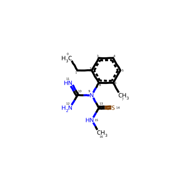 CCc1cccc(C)c1N(C(=N)N)C(=S)NC